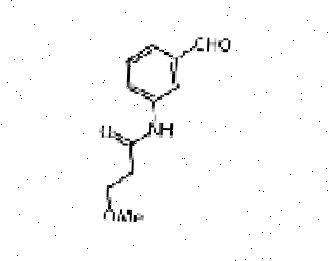 COCCC(=O)Nc1cccc(C=O)c1